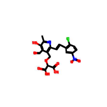 Cc1nc(/C=C/c2cc([N+](=O)[O-])ccc2Cl)c(COC(C(=O)O)C(=O)O)c(C=O)c1O